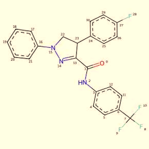 O=C(Nc1ccc(C(F)(F)F)cc1)C1=NN(c2ccccc2)CC1c1ccc(F)cc1